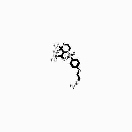 C=C=CCOc1ccc(S(=O)(=O)N2CCSC(C)(C)C2C(=O)NO)cc1